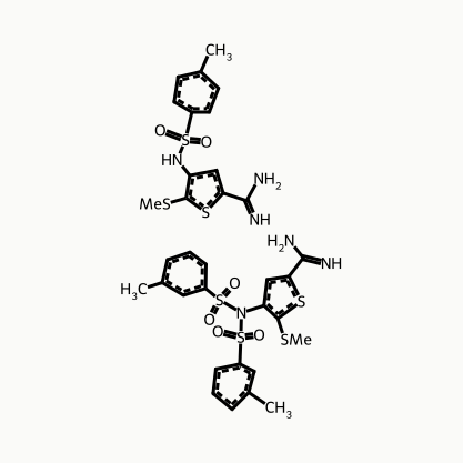 CSc1sc(C(=N)N)cc1N(S(=O)(=O)c1cccc(C)c1)S(=O)(=O)c1cccc(C)c1.CSc1sc(C(=N)N)cc1NS(=O)(=O)c1ccc(C)cc1